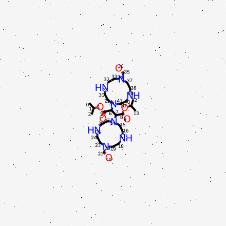 CC(C)OC(=O)C(C(C(=O)OC(C)C)N1CCNCCN(C=O)CCNCC1)N1CCNCCN(C=O)CCNCC1